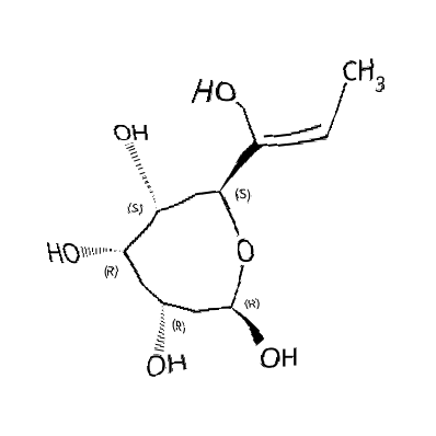 CC=C(O)[C@H]1O[C@@H](O)[C@H](O)[C@H](O)[C@@H]1O